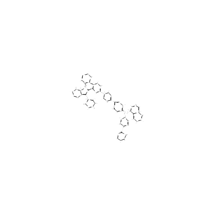 c1ccc(-c2ccc(N(c3ccc(-c4ccc(-c5ccc6c7ccccc7n7c8ccccc8c(-c8ccccc8)c7c6c5)cc4)cc3)c3cccc4ccccc34)cc2)cc1